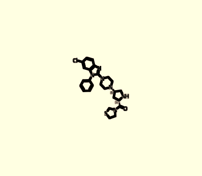 O=C([C@@H]1C[C@H](N2CCN(c3nc4ccc(Cl)cc4n3-c3ccccc3)CC2)CN1)N1CCSC1